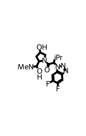 CNC(O)C1CC(O)CN1C(=O)C(C(C)C)n1nnc2cc(F)c(F)cc21